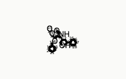 CC(CC(CO)[C@@H]1NC(=O)[C@@H]1[C@H](COC=O)OCc1ccccc1)c1ccccc1